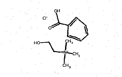 C[N+](C)(C)CCO.O=C(O)c1ccccc1.[Cl-]